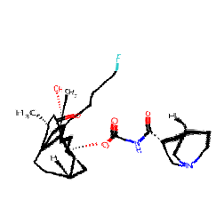 C[C@H]1[C@H](O)[C@](C)(CCCF)C[C@@H](OC(=O)NC(=O)[C@H]2CN3CC[C@@H]2C3)[C@]23C[C@@H]2CCC12CCC(=O)C23